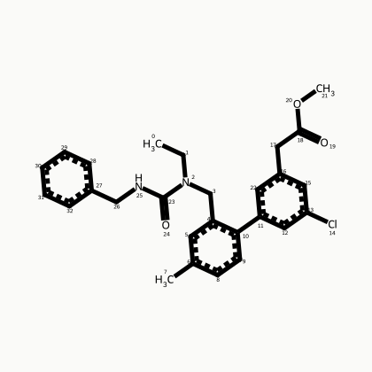 CCN(Cc1cc(C)ccc1-c1cc(Cl)cc(CC(=O)OC)c1)C(=O)NCc1ccccc1